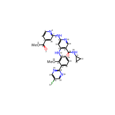 COC(=O)c1ccnc(Nc2cc(Nc3cccc(-c4ncc(F)cn4)c3OC)c(C(=O)NC3CC3)cn2)c1